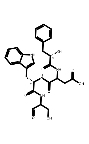 O=CC(CO)NC(=O)[C@H](Cc1c[nH]c2ccccc12)NC(=O)C(CC(=O)O)NC(=O)[C@@H](S)Cc1ccccc1